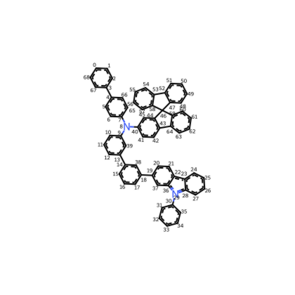 c1ccc(-c2ccc(N(c3cccc(-c4cccc(-c5ccc6c7ccccc7n(-c7ccccc7)c6c5)c4)c3)c3ccc4c(c3)C3(c5ccccc5-c5ccccc53)c3ccccc3-4)cc2)cc1